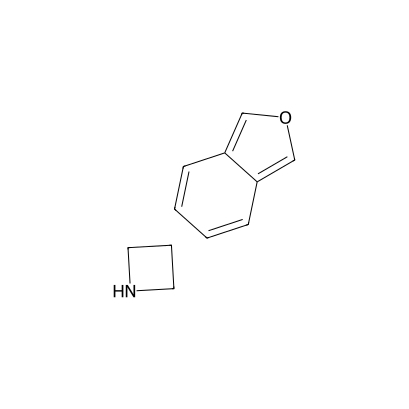 C1CNC1.c1ccc2cocc2c1